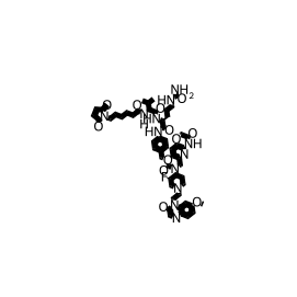 COc1ccc2ncc(=O)n(CCN3CC[C@H](N(Cc4ccc5c(n4)NC(=O)CO5)C(=O)OCc4ccc(NC(=O)[C@H](CCCNC(N)=O)NC(=O)[C@@H](NC(=O)CCCCCN5C(=O)C=CC5=O)C(C)C)cc4)[C@@H](F)C3)c2c1